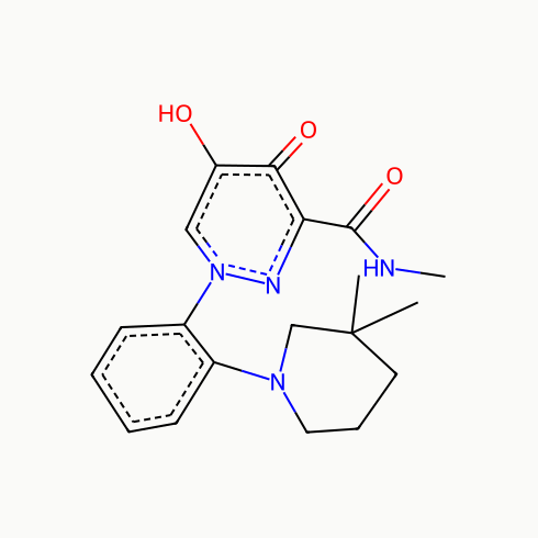 CNC(=O)c1nn(-c2ccccc2N2CCCC(C)(C)C2)cc(O)c1=O